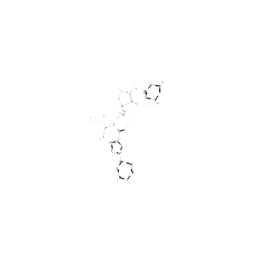 Cl.O=C1c2cc(-c3ccccc3)sc2CCC1CNC1CCC(Oc2ccccc2)C1O